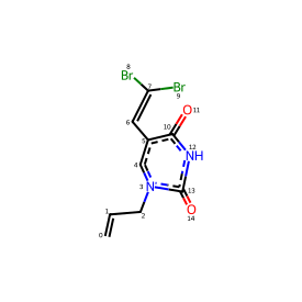 C=CCn1cc(C=C(Br)Br)c(=O)[nH]c1=O